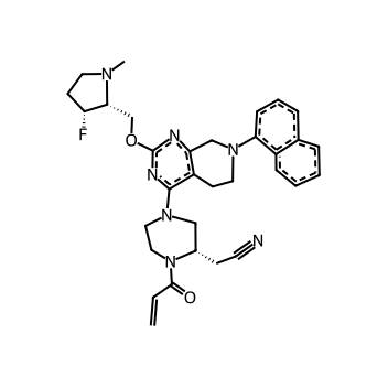 C=CC(=O)N1CCN(c2nc(OC[C@@H]3[C@H](F)CCN3C)nc3c2CCN(c2cccc4ccccc24)C3)C[C@@H]1CC#N